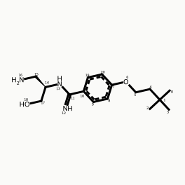 CC(C)(C)CCOc1ccc(C(=N)N[C@H](CN)CO)cc1